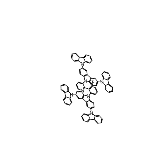 FC(F)(F)c1cccc(-n2c3ccc(-n4c5ccccc5c5ccccc54)cc3c3cc(-n4c5ccccc5c5ccccc54)ccc32)c1-c1ncccc1-n1c2ccc(-n3c4ccccc4c4ccccc43)cc2c2cc(-n3c4ccccc4c4ccccc43)ccc21